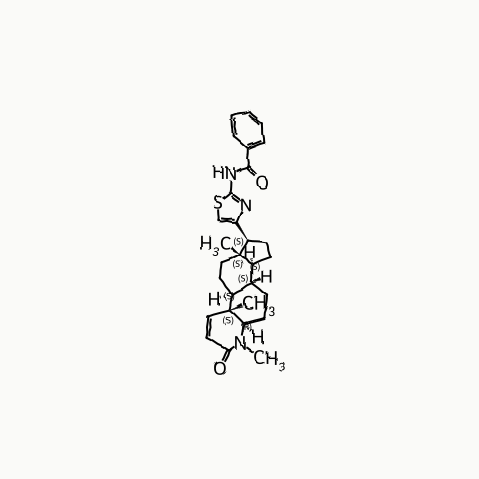 CN1C(=O)C=C[C@]2(C)[C@H]3CC[C@]4(C)[C@@H](c5csc(NC(=O)c6ccccc6)n5)CC[C@H]4[C@@H]3CC[C@@H]12